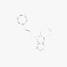 Cc1cccc(/C=C/Cn2c3c(c4scc(Cl)c42)CN(C)CC3)c1